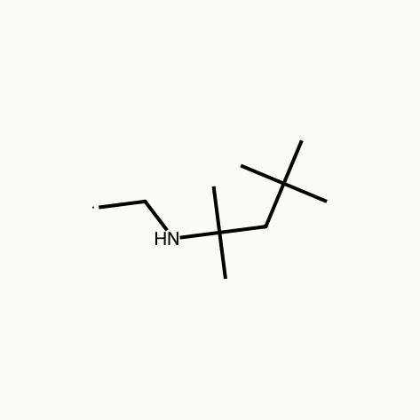 [CH2]CNC(C)(C)CC(C)(C)C